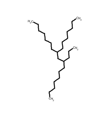 CCCCCCCC(CCC)CC(CCCCCCC)CCCCCCC